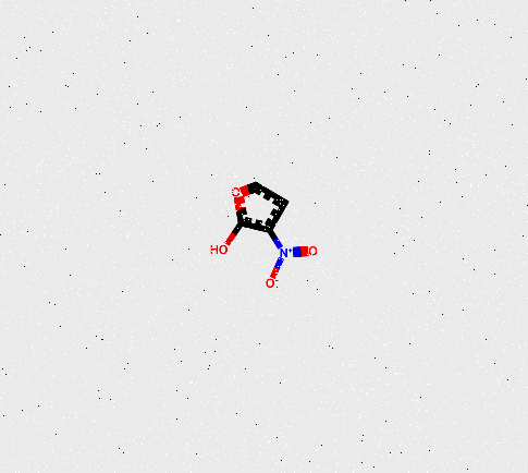 O=[N+]([O-])c1ccoc1O